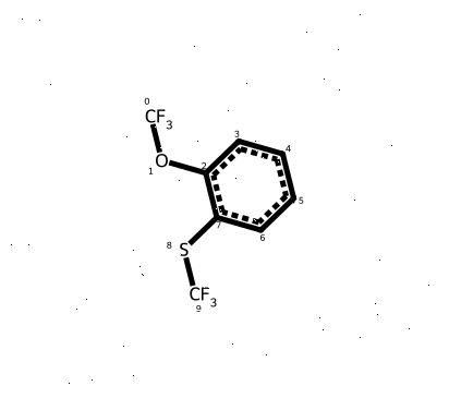 FC(F)(F)Oc1cc[c]cc1SC(F)(F)F